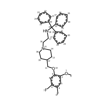 COc1cc(F)c(F)cc1OCC1CCN(CCNC(c2ccccc2)(c2ccccc2)c2ccccc2)CC1